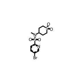 CN(C1CCS(=O)(=O)CC1)S(=O)(=O)c1ccc(Br)cn1